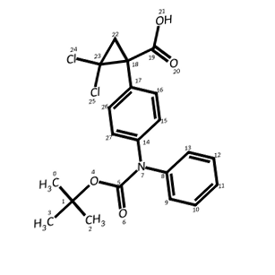 CC(C)(C)OC(=O)N(c1ccccc1)c1ccc(C2(C(=O)O)CC2(Cl)Cl)cc1